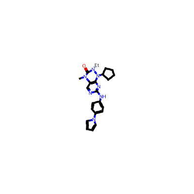 CCN1C(=O)N(C)c2cnc(Nc3ccc(-n4cccc4)cc3)nc2N1C1CCCC1